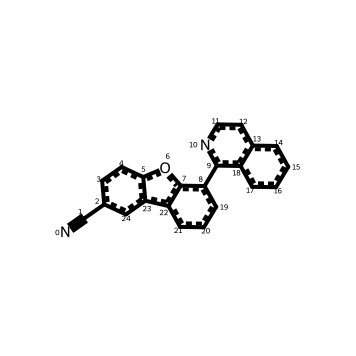 N#Cc1ccc2oc3c(-c4nccc5ccccc45)cccc3c2c1